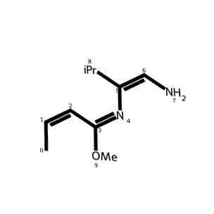 C\C=C/C(=N\C(=C/N)C(C)C)OC